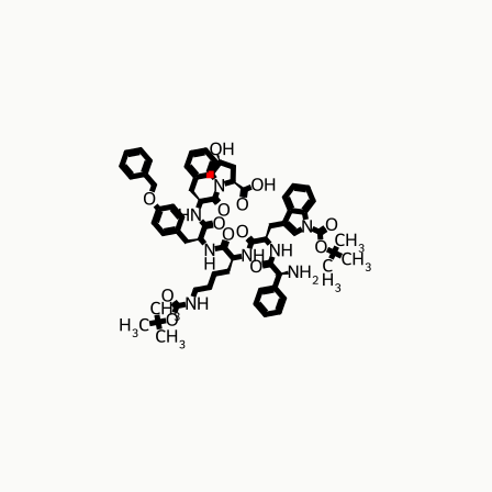 CC(C)(C)OC(=O)NCCCC[C@H](NC(=O)[C@@H](Cc1cn(C(=O)OC(C)(C)C)c2ccccc12)NC(=O)[C@@H](N)c1ccccc1)C(=O)N[C@@H](Cc1ccc(OCc2ccccc2)cc1)C(=O)N[C@@H](Cc1ccccc1)C(=O)N1C[C@H](O)C[C@H]1C(=O)O